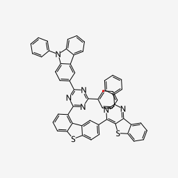 c1ccc(-c2nc(-c3ccc4c(c3)c3ccccc3n4-c3ccccc3)nc(-c3cccc4sc5ccc(-c6nc(-c7ccccc7)nc7c6sc6ccccc67)cc5c34)n2)cc1